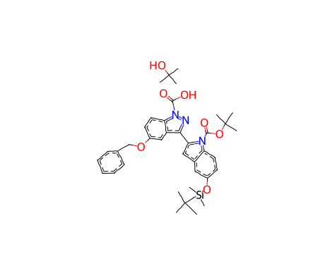 CC(C)(C)O.CC(C)(C)OC(=O)n1c(-c2nn(C(=O)O)c3ccc(OCc4ccccc4)cc23)cc2cc(O[Si](C)(C)C(C)(C)C)ccc21